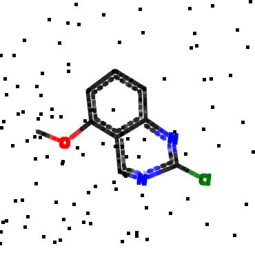 COc1cccc2nc(Cl)ncc12